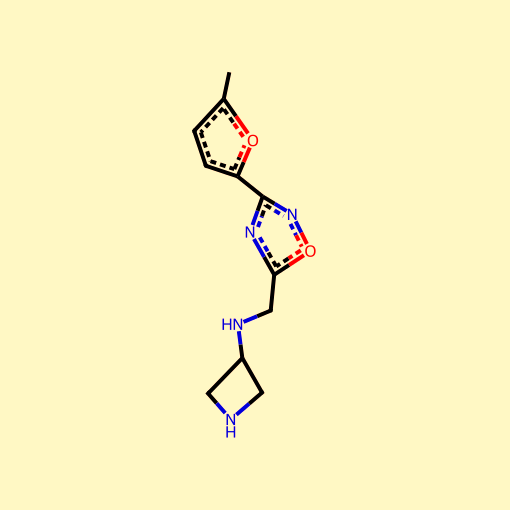 Cc1ccc(-c2noc(CNC3CNC3)n2)o1